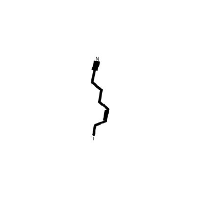 N#CCCC/C=C\CI